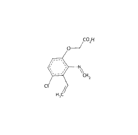 C=Cc1c(Cl)ccc(OCC(=O)O)c1N=C